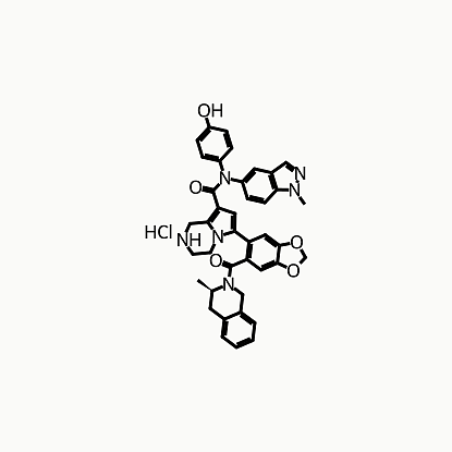 C[C@@H]1Cc2ccccc2CN1C(=O)c1cc2c(cc1-c1cc(C(=O)N(c3ccc(O)cc3)c3ccc4c(cnn4C)c3)c3n1CCNC3)OCO2.Cl